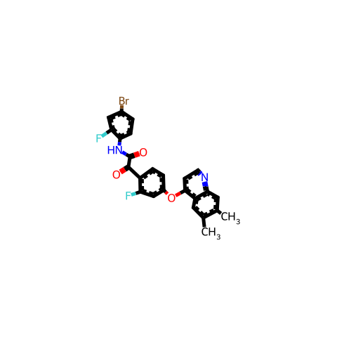 Cc1cc2nccc(Oc3ccc(C(=O)C(=O)Nc4ccc(Br)cc4F)c(F)c3)c2cc1C